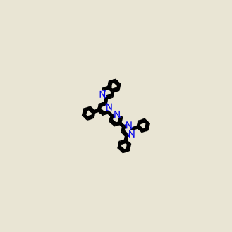 c1ccc(-c2cc(-c3ccc(-c4cc(-c5ccccc5)nc(-c5ccccc5)n4)cn3)nc(-c3cc4ccccc4cn3)c2)cc1